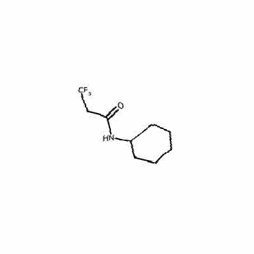 O=C(CC(F)(F)F)NC1CCCCC1